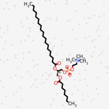 CCCCCCCCCCCCCCCCCCCC(=O)O[C@H](COC(=O)CCCCCCC)COP(=O)([O-])OCC[N+](C)(C)C